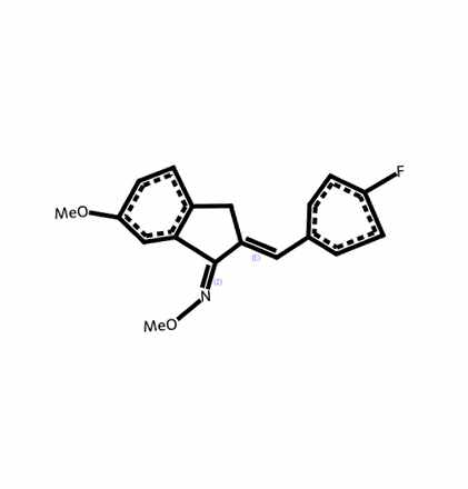 CO/N=C1/C(=C/c2ccc(F)cc2)Cc2ccc(OC)cc21